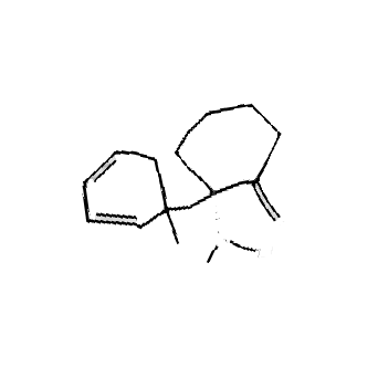 CCN(CC)[C@]1(C2(C)C=CC=CC2)CCCCC1=O